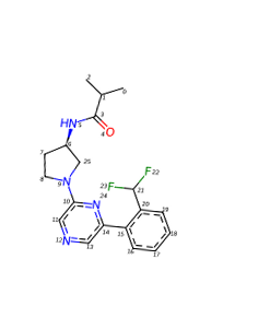 CC(C)C(=O)N[C@@H]1CCN(c2cncc(-c3ccccc3C(F)F)n2)C1